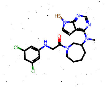 CN(c1ncnc2c1ccn2S)C1CCCCN(C(=O)CNC2=CC(Cl)CC(Cl)=C2)C1